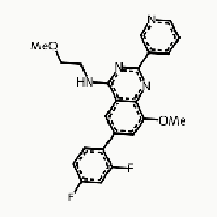 COCCNc1nc(-c2cccnc2)nc2c(OC)cc(-c3ccc(F)cc3F)cc12